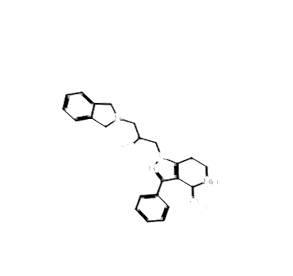 OC(CN1Cc2ccccc2C1)Cn1nc(-c2ccccc2)c2c1CCNC2C(F)(F)F